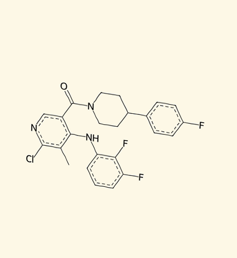 Cc1c(Cl)ncc(C(=O)N2CCC(c3ccc(F)cc3)CC2)c1Nc1cccc(F)c1F